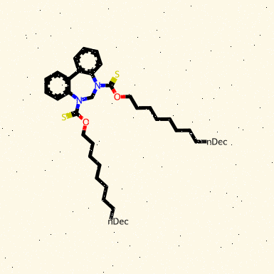 CCCCCCCCCCCCCCCCCCOC(=S)N1CN(C(=S)OCCCCCCCCCCCCCCCCCC)c2ccccc2-c2ccccc21